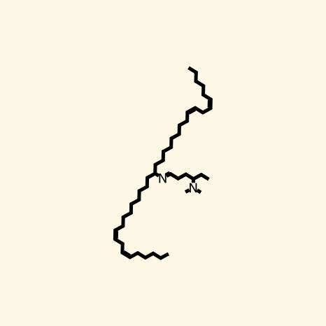 CCCCC/C=C\C/C=C\CCCCCCCCC(CCCCCCCC/C=C\C/C=C\CCCCC)N=CCCC(CC)N(C)C